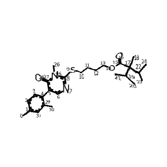 Cc1ccc(-c2cnc(SCCCCOC(=O)C(C)(C(C)C)C(C)C)n(C)c2=O)c(C)c1